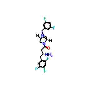 N[C@@H](CC(=O)N1C[C@H]2C[C@@H]1CN2Cc1cc(F)cc(F)c1)Cc1cc(F)c(F)cc1F